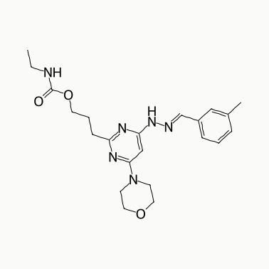 CCNC(=O)OCCCc1nc(N/N=C/c2cccc(C)c2)cc(N2CCOCC2)n1